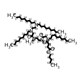 CCCCCCCCCN(CCCCCCCCC)CCN(CCCCCCCCC)CC(=O)N(C)CCN(C)C(=O)CN(CCCCCCCCC)CCCC(=O)OCCCCC